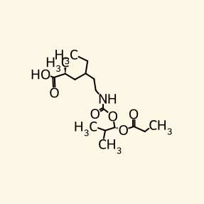 CCC(=O)O[C@@H](OC(=O)NCCC(CC)C[C@H](C)C(=O)O)C(C)C